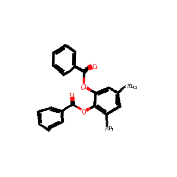 CCCCc1cc(CCC)c(OC(=O)c2ccccc2)c(OC(=O)c2ccccc2)c1